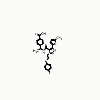 Cc1ccc(-c2nnn(CCOc3ccc(F)cc3)c2C(=O)NC(C)c2ccc(C(=O)O)cc2)s1